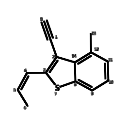 C#Cc1c(/C=C\C)sc2cccc(C)c12